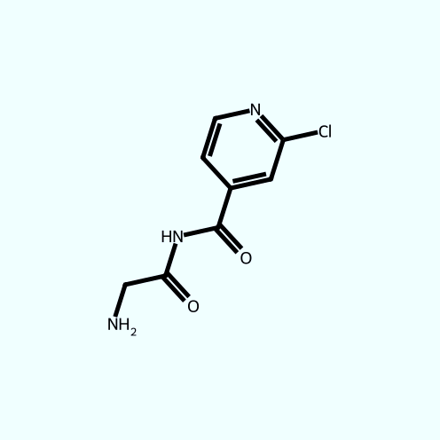 NCC(=O)NC(=O)c1ccnc(Cl)c1